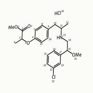 COC(=O)C(C)Oc1ccc(CC(C)NCC(OC)c2cccc(Cl)c2)cc1.Cl